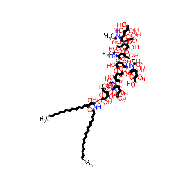 CCCCCCCCCCCCC/C=C/[C@@H](O)[C@H](CO[C@@H]1OC(CO)[C@@H](O[C@@H]2OC(CO)[C@H](O)[C@H](O[C@@H]3OC(CO)[C@@H](O[C@@H]4OC(CO[C@@H]5OC(CO)[C@@H](O)[C@H](O)C5NC(C)=O)[C@H](O)[C@H](O[C@H]5OC(CO)[C@@H](O[C@@H]6OC(CO)[C@H](O)[C@H](O[C@]7(C(=O)O)CC(O)[C@@H](NC(C)=O)C([C@H](O)[C@H](O)CO)O7)C6O)[C@H](O)C5NC(C)=O)C4O)[C@H](O)C3NC(C)=O)C2O)[C@H](O)C1O)NC(=O)CCCCCCCCCCCCCCCCC